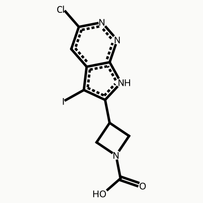 O=C(O)N1CC(c2[nH]c3nnc(Cl)cc3c2I)C1